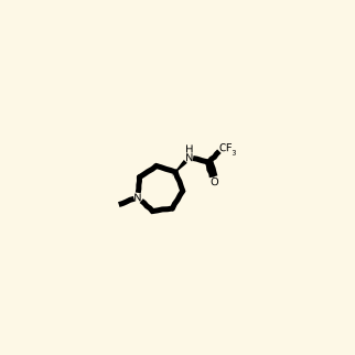 CN1CCC[C@H](NC(=O)C(F)(F)F)CC1